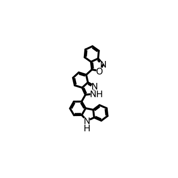 c1ccc2c(-c3cccc4c(-c5cccc6[nH]c7ccccc7c56)[nH]nc34)onc2c1